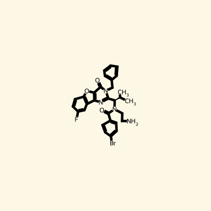 CC(C)[C@H](c1nc2c(oc3ccc(F)cc32)c(=O)n1Cc1ccccc1)N(CCN)C(=O)c1ccc(Br)cc1